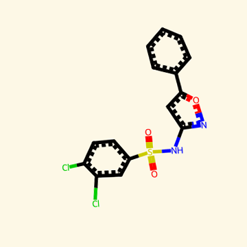 O=S(=O)(Nc1cc(-c2ccccc2)on1)c1ccc(Cl)c(Cl)c1